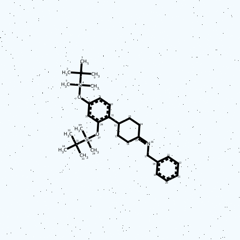 CC(C)(C)[Si](C)(C)Oc1ccc(C2CCC(=NCc3ccccc3)CC2)c(O[Si](C)(C)C(C)(C)C)c1